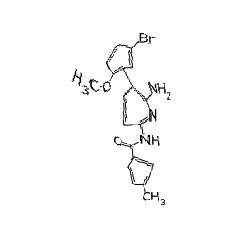 COc1ccc(Br)cc1-c1ccc(NC(=O)c2ccc(C)cc2)nc1N